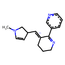 CN1C=CC(/C=C2\CCCN=C2c2cccnc2)C1